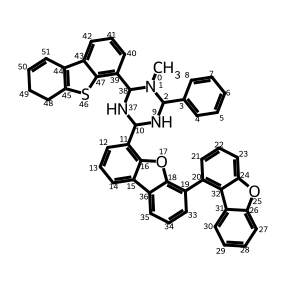 CN1C(c2ccccc2)NC(c2cccc3c2oc2c(-c4cccc5oc6ccccc6c45)cccc23)NC1c1cccc2c3c(sc12)CCC=C3